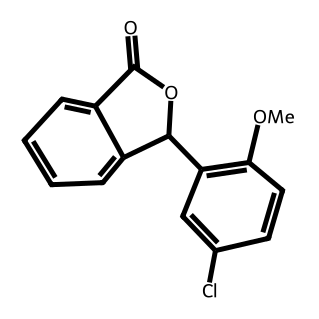 COc1ccc(Cl)cc1C1OC(=O)c2ccccc21